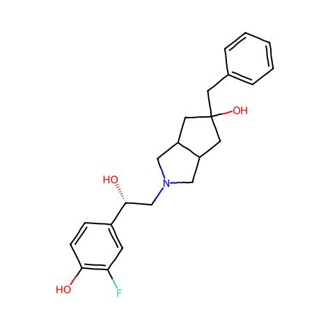 Oc1ccc([C@H](O)CN2CC3CC(O)(Cc4ccccc4)CC3C2)cc1F